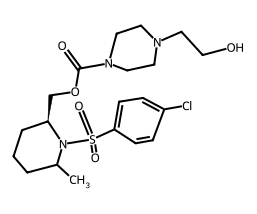 CC1CCC[C@@H](COC(=O)N2CCN(CCO)CC2)N1S(=O)(=O)c1ccc(Cl)cc1